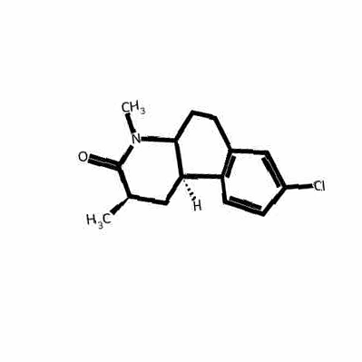 C[C@@H]1C[C@@H]2c3ccc(Cl)cc3CCC2N(C)C1=O